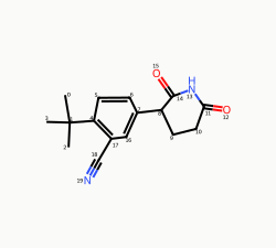 CC(C)(C)c1ccc(C2CCC(=O)NC2=O)cc1C#N